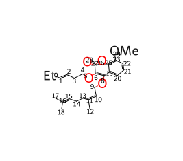 CCC=CCCOc1c(OCC=C(C)CCC=C(C)C)c2cccc(OC)c2oc1=O